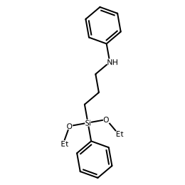 CCO[Si](CCCNc1ccccc1)(OCC)c1ccccc1